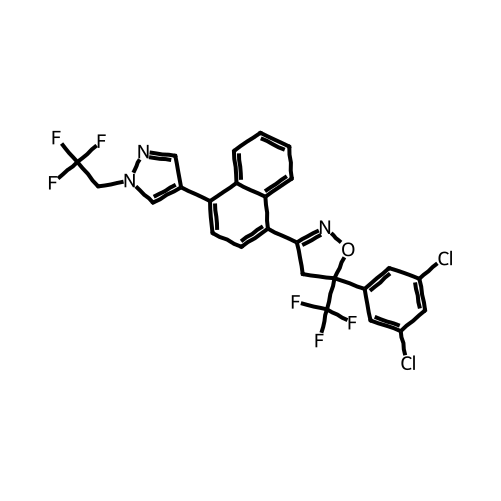 FC(F)(F)Cn1cc(-c2ccc(C3=NOC(c4cc(Cl)cc(Cl)c4)(C(F)(F)F)C3)c3ccccc23)cn1